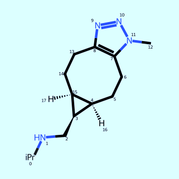 CC(C)NC[C@@H]1[C@@H]2CCc3c(nnn3C)CC[C@@H]21